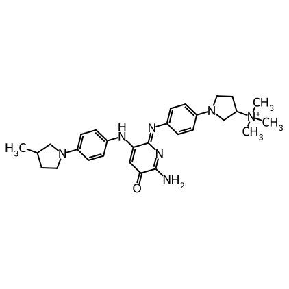 CC1CCN(c2ccc(NC3=CC(=O)C(N)=N/C3=N\c3ccc(N4CCC([N+](C)(C)C)C4)cc3)cc2)C1